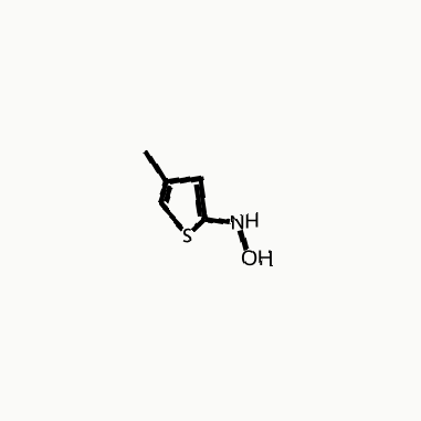 Cc1csc(NO)c1